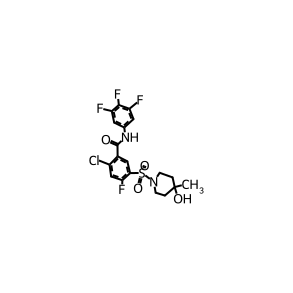 CC1(O)CCN(S(=O)(=O)c2cc(C(=O)Nc3cc(F)c(F)c(F)c3)c(Cl)cc2F)CC1